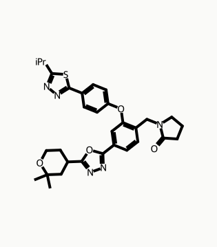 CC(C)c1nnc(-c2ccc(Oc3cc(-c4nnc(C5CCOC(C)(C)C5)o4)ccc3CN3CCCC3=O)cc2)s1